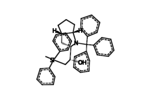 C[Si](C[C@@H](O)[C@@H]1C[C@@H]2CCC[C@@H]2N1C(c1ccccc1)(c1ccccc1)c1ccccc1)(c1ccccc1)c1ccccc1